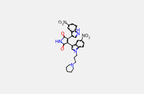 O=C1NC(=O)C(c2cn(CCCN3CCCCC3)c3ccc([N+](=O)[O-])cc23)=C1c1c[nH]c2ccc([N+](=O)[O-])cc12